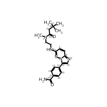 CN(CCNc1ccc2ncc(-c3ccc(C(N)=O)cc3)n2n1)C(=O)CC(C)(C)C